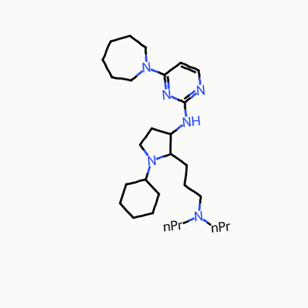 CCCN(CCC)CCCC1C(Nc2nccc(N3CCCCCC3)n2)CCN1C1CCCCC1